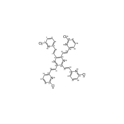 Clc1cccc(C=Cc2nc(C=Cc3cccc(Cl)n3)c(C=Cc3cccc(Cl)n3)nc2C=Cc2cccc(Cl)n2)n1